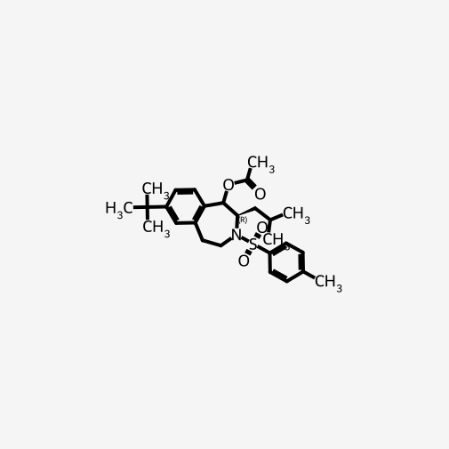 CC(=O)OC1c2ccc(C(C)(C)C)cc2CCN(S(=O)(=O)c2ccc(C)cc2)[C@@H]1CC(C)C